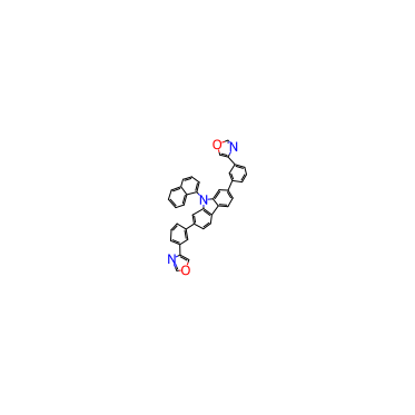 c1cc(-c2ccc3c4ccc(-c5cccc(-c6cocn6)c5)cc4n(-c4cccc5ccccc45)c3c2)cc(-c2cocn2)c1